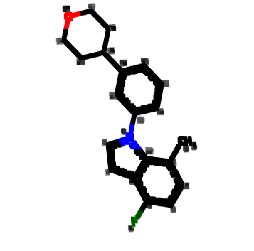 Cc1ccc(F)c2ccn(-c3cccc(C4CCOCC4)c3)c12